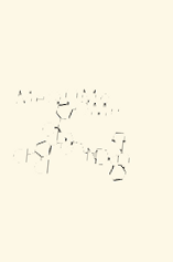 COc1cc(C(=O)N2CC(CCN3CCC(C(=O)N4CCCC4)(c4ccccc4)CC3)OC2c2ccc(Cl)c(Cl)c2)cc(OC)c1OC